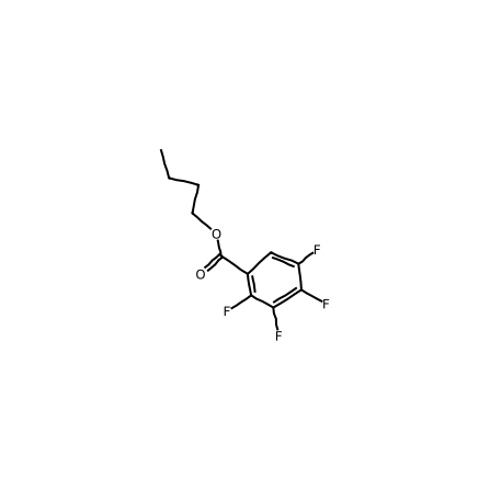 CCCCOC(=O)c1cc(F)c(F)c(F)c1F